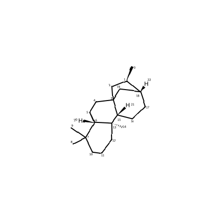 C[C@@H]1CC23CC[C@H]4C(C)(C)CCC[C@]4(C)[C@H]2CC[C@@H]1C3